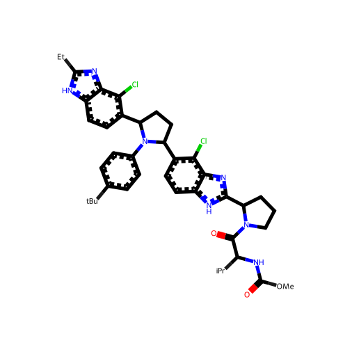 CCc1nc2c(Cl)c(C3CCC(c4ccc5[nH]c(C6CCCN6C(=O)C(NC(=O)OC)C(C)C)nc5c4Cl)N3c3ccc(C(C)(C)C)cc3)ccc2[nH]1